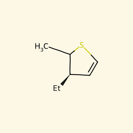 CC[C@@H]1C=CSC1C